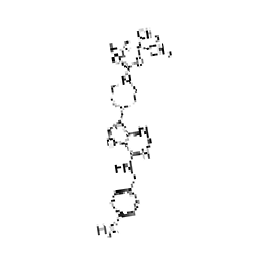 Cc1ccc(CNc2ncnc3c(C4CCN(C(=O)OC(C)(C)C)CC4)coc23)cc1